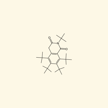 CC(C)(C)c1c2c(c(C(C)(C)C)c(C(C)(C)C)c1C(C)(C)C)C(=O)N(C(C)(C)C)C(=O)C2